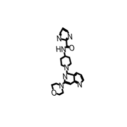 O=C(NC1CCN(c2nc(N3CCOCC3)cc3ncccc23)CC1)c1ncccn1